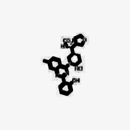 Cc1ccc2c(N3CCC[C@H]([C@H](NC(=O)O)C4CCOC4)C3)nc(-c3ccccc3O)nc2c1.Cl